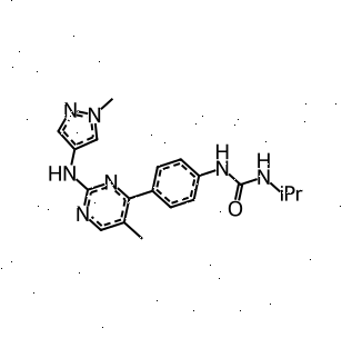 Cc1cnc(Nc2cnn(C)c2)nc1-c1ccc(NC(=O)NC(C)C)cc1